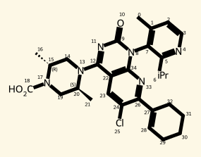 Cc1ccnc(C(C)C)c1-n1c(=O)nc(N2C[C@@H](C)N(C(=O)O)C[C@@H]2C)c2cc(Cl)c(C3=CCCCC3)nc21